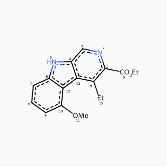 CCOC(=O)c1ncc2[nH]c3cccc(OC)c3c2c1CC